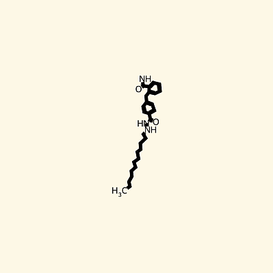 CCCCCCCCCCCCCNNC(=O)c1ccc(Cc2ccccc2C(N)=O)cc1